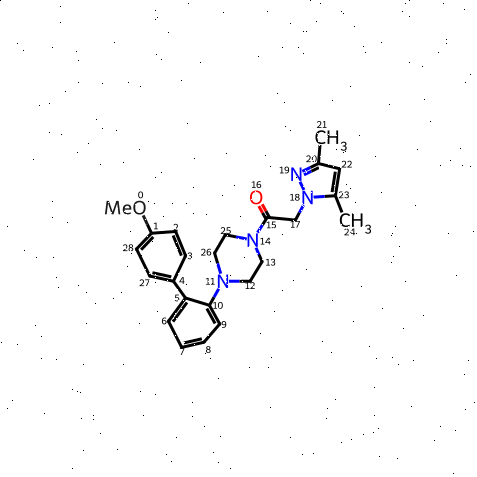 COc1ccc(-c2ccccc2N2CCN(C(=O)Cn3nc(C)cc3C)CC2)cc1